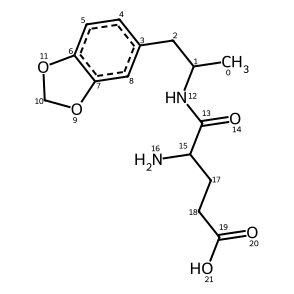 CC(Cc1ccc2c(c1)OCO2)NC(=O)C(N)CCC(=O)O